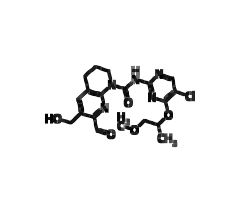 COCC(C)Oc1nc(NC(=O)N2CCCc3cc(CO)c(C=O)nc32)ncc1Cl